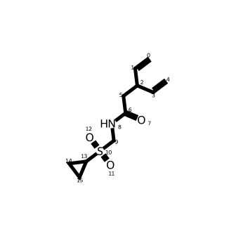 C=CC(C=C)CC(=O)NCS(=O)(=O)C1CC1